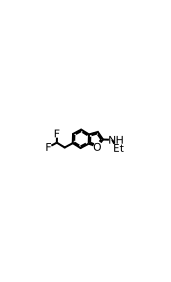 CCNc1cc2ccc(CC(F)F)cc2o1